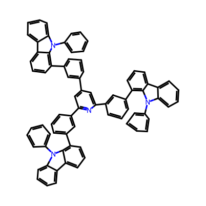 c1ccc(-n2c3ccccc3c3cccc(-c4cccc(-c5cc(-c6cccc(-c7cccc8c9ccccc9n(-c9ccccc9)c78)c6)nc(-c6cccc(-c7cccc8c9ccccc9n(-c9ccccc9)c78)c6)c5)c4)c32)cc1